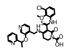 COc1c(Cl)cccc1NC(=S)C1=C(NCc2ccncc2OC(C)c2ccccn2)CCN(C(=O)O)C1=O